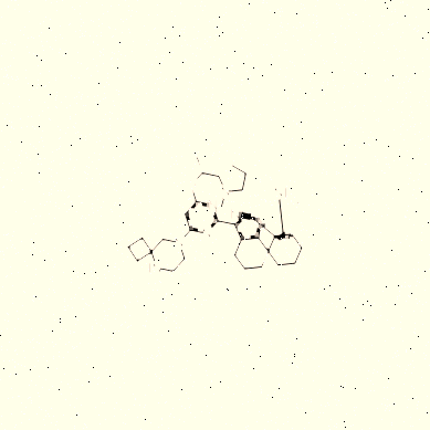 C[C@H](Oc1cc(N2CCNC3(CCC3)C2)nc(-c2onc3c2CCC[C@@]32CCCc3sc(N)c(C#N)c32)n1)[C@@H]1CCCN1C